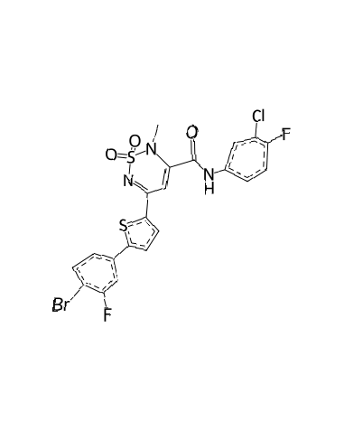 CN1C(C(=O)Nc2ccc(F)c(Cl)c2)=CC(c2ccc(-c3ccc(Br)c(F)c3)s2)=NS1(=O)=O